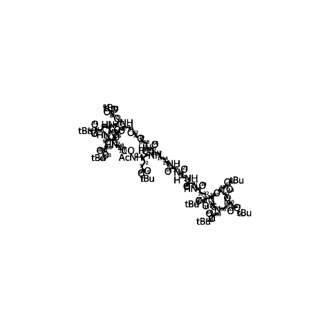 CC(=O)N[C@H](CCC(=O)OC(C)(C)C)C(=O)N[C@H](CCCCNC(=O)CNC(=O)CNC(=O)CNC(=O)CC[C@H](C(=O)OC(C)(C)C)N1CCN(CC(=O)OC(C)(C)C)CCN(CC(=O)OC(C)(C)C)CCN(CC(=O)OC(C)(C)C)CC1)C(=O)NCCOCCOCC(=O)N[C@H](CCC(=O)OC(C)(C)C)C(=O)N[C@H](CCC(=O)OC(C)(C)C)C(=O)N[C@H](CCC(=O)OC(C)(C)C)C(=O)NCCC(=O)O